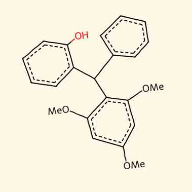 COc1cc(OC)c(C(c2ccccc2)c2ccccc2O)c(OC)c1